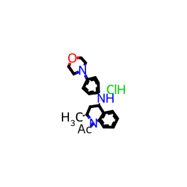 CC(=O)N1c2ccccc2[C@@H](Nc2ccc(N3CCOCC3)cc2)C[C@H]1C.Cl